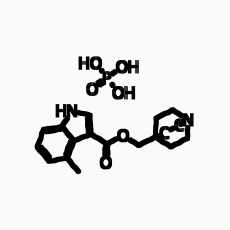 Cc1cccc2[nH]cc(C(=O)OCC34CCN(CC3)CC4)c12.O=P(O)(O)O